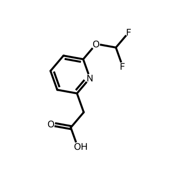 O=C(O)Cc1cccc(OC(F)F)n1